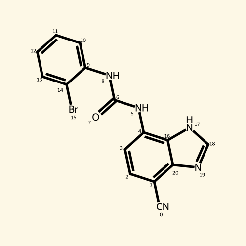 N#Cc1ccc(NC(=O)Nc2ccccc2Br)c2[nH]cnc12